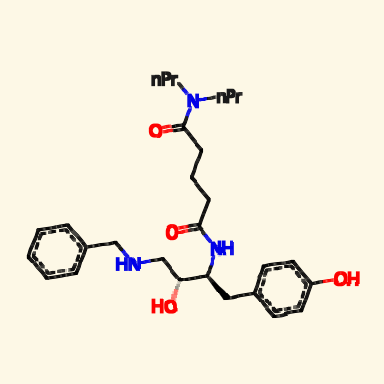 CCCN(CCC)C(=O)CCCC(=O)N[C@@H](Cc1ccc(O)cc1)[C@H](O)CNCc1ccccc1